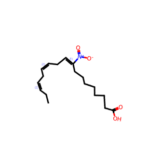 CC/C=C\C/C=C\C/C=C(\CCCCCCCC(=O)O)[N+](=O)[O-]